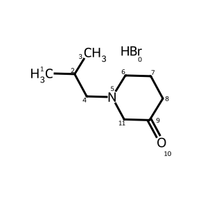 Br.CC(C)CN1CCCC(=O)C1